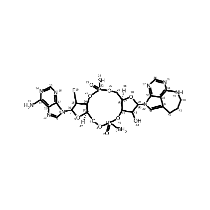 BP1(=O)OC[C@H]2O[C@@H](n3cnc4c(N)ncnc43)C(F)C2OP(=O)(S)OC[C@H]2O[C@@H](n3cc4c5c(ncnc53)NCCC4)C(O)C2O1